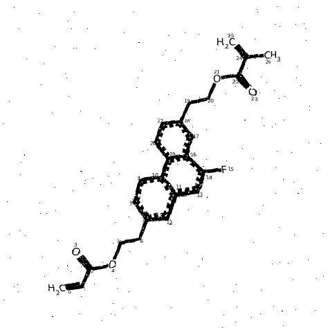 C=CC(=O)OCCc1ccc2c(c1)cc(F)c1cc(CCOC(=O)C(=C)C)ccc12